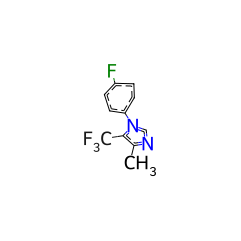 Cc1ncn(-c2ccc(F)cc2)c1C(F)(F)F